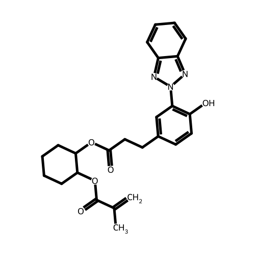 C=C(C)C(=O)OC1CCCCC1OC(=O)CCc1ccc(O)c(-n2nc3ccccc3n2)c1